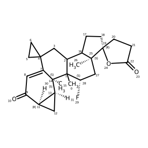 CC12C(CC3(CC3)C3=CC(=O)[C@@H]4C[C@@H]4[C@@]31C)C1CC[C@@]3(CCC(=O)O3)[C@@]1(C)C[C@@H]2F